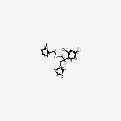 Cn1ccnc1CSCC(O)(Cn1cncn1)c1ccc(Cl)cc1Cl